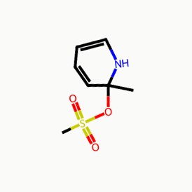 CC1(OS(C)(=O)=O)C=CC=CN1